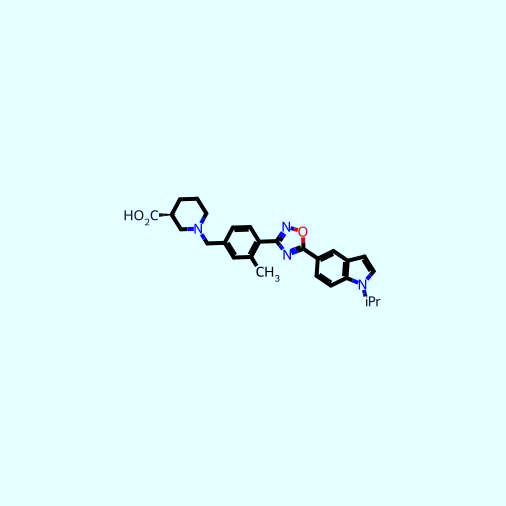 Cc1cc(CN2CCC[C@H](C(=O)O)C2)ccc1-c1noc(-c2ccc3c(ccn3C(C)C)c2)n1